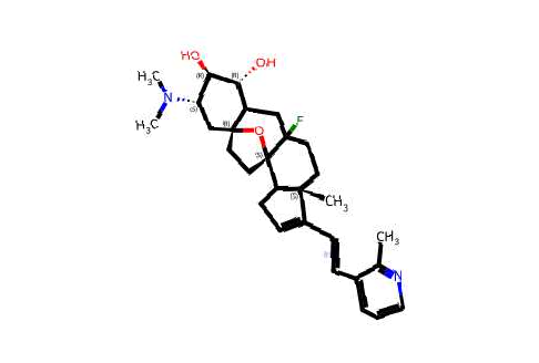 Cc1ncccc1/C=C/C1=CCC2[C@@]34CC[C@]5(C[C@H](N(C)C)[C@@H](O)[C@H](O)C5CC3(F)CC[C@]12C)O4